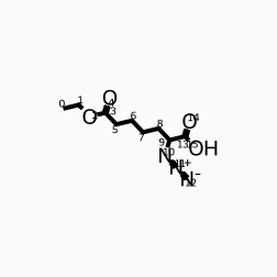 CCOC(=O)CCCCC(N=[N+]=[N-])C(=O)O